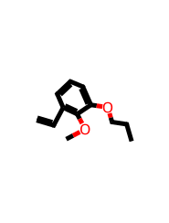 C=Cc1cccc(OCCC)c1OC